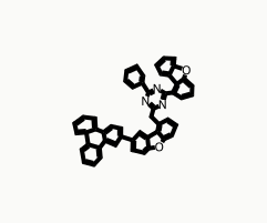 c1ccc(-c2nc(Cc3cccc4oc5ccc(-c6ccc7c8ccccc8c8ccccc8c7c6)cc5c34)nc(-c3cccc4oc5ccccc5c34)n2)cc1